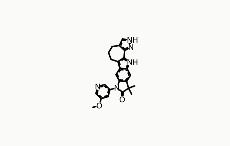 COc1cncc(N2C(=O)C(C)(C)c3cc4[nH]c5c(c4cc32)CCCc2c[nH]nc2-5)c1